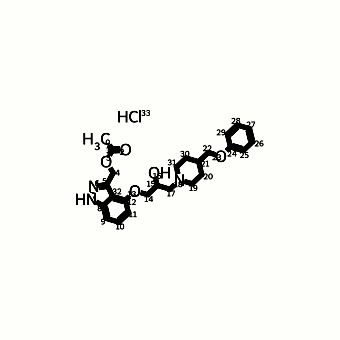 CC(=O)OCc1n[nH]c2cccc(OCC(O)CN3CCC(COc4ccccc4)CC3)c12.Cl